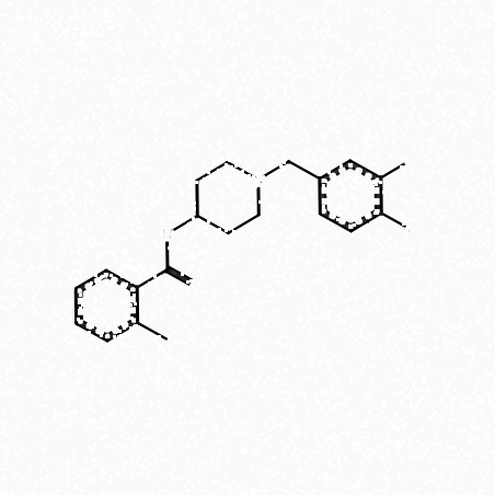 Cc1ccccc1C(=O)NC1CCN(Cc2ccc(Cl)c(Cl)c2)CC1